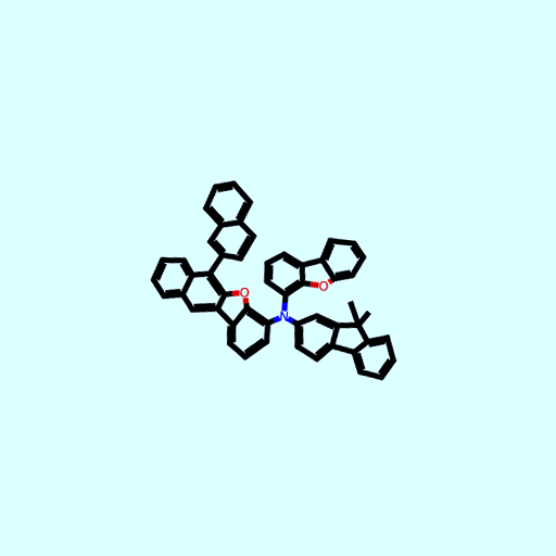 CC1(C)c2ccccc2-c2ccc(N(c3cccc4c3oc3ccccc34)c3cccc4c3oc3c(-c5ccc6ccccc6c5)c5ccccc5cc34)cc21